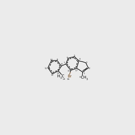 CC1=CCc2ccc(-c3ccccc3C)c(Br)c21